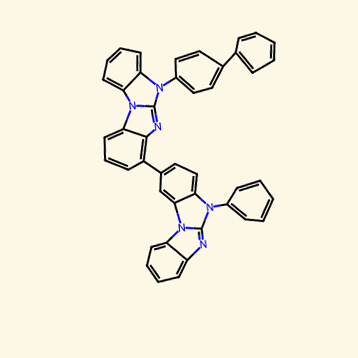 c1ccc(-c2ccc(-n3c4ccccc4n4c5cccc(-c6ccc7c(c6)n6c8ccccc8nc6n7-c6ccccc6)c5nc34)cc2)cc1